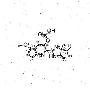 COn1ccc2nc(C3=NC(C)(C(C)C)C(=O)N3)c(OC(=O)O)cc21